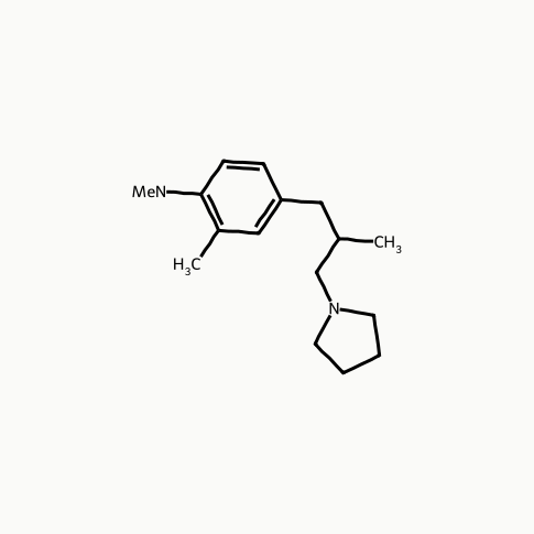 CNc1ccc(CC(C)CN2CCCC2)cc1C